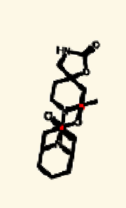 CCOC(=O)N1C2C=C(N3CCC4(CC3)CNC(=O)O4)CC1CCC2